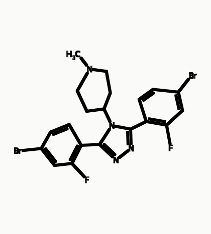 CN1CCC(n2c(-c3ccc(Br)cc3F)nnc2-c2ccc(Br)cc2F)CC1